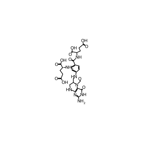 N[C@@H](CCC(=O)O)C(=O)O.Nc1nc2c(c(=O)[nH]1)N(C=O)C(CNc1ccc(C(=O)NC(CCC(=O)O)C(=O)O)cc1)CN2